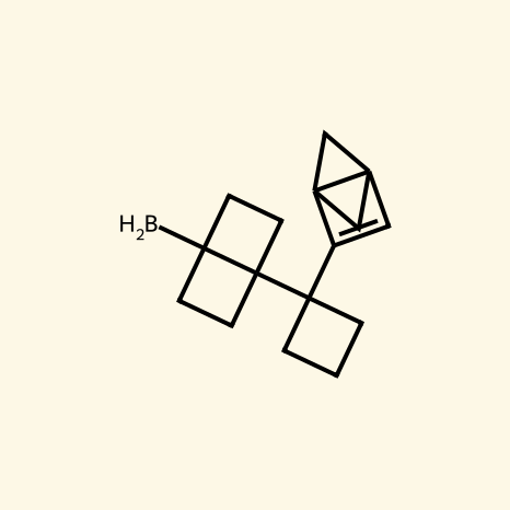 BC12CCC1(C1(C3=CC45CC34C5)CCC1)CC2